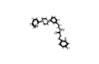 O=C(CCc1ccc(F)cc1F)NCCc1cccc(N2CCN(c3ccccn3)CC2)c1